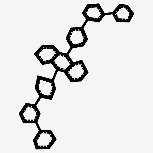 c1ccc(-c2cccc(-c3ccc(-c4c5ccccc5c(-c5ccc(-c6cccc(-c7ccccc7)c6)cc5)c5ccccc45)cc3)c2)cc1